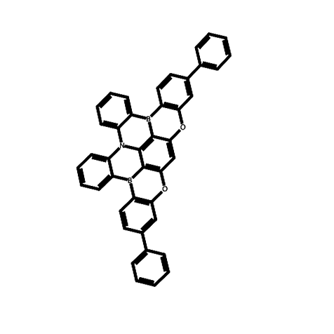 c1ccc(-c2ccc3c(c2)Oc2cc4c5c6c2B3c2ccccc2N6c2ccccc2B5c2ccc(-c3ccccc3)cc2O4)cc1